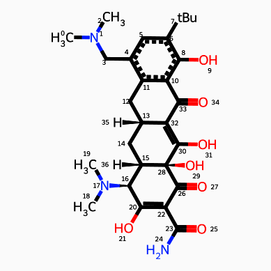 CN(C)Cc1cc(C(C)(C)C)c(O)c2c1C[C@H]1C[C@H]3[C@H](N(C)C)C(O)=C(C(N)=O)C(=O)[C@@]3(O)C(O)=C1C2=O